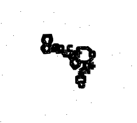 CCOC(=O)c1c(CCCOc2cccc3ccccc23)c2cccc3c2n1C/C=C\COCc1c-3c(CN2CCOCC2)nn1C